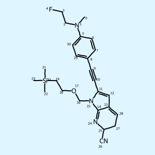 CN(CCF)c1ccc(C#Cc2cc3c(n2COCC[Si](C)(C)C)=NC(C#N)CC=3)cc1